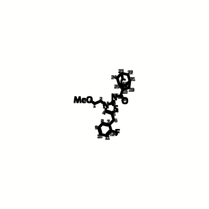 COCCn1cc(Cc2ccccc2F)sc1=NC(=O)C12CC3CC(CC1C3)C2